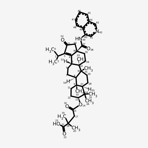 CC(C)C1=C2[C@H]3CC[C@@H]4[C@@]5(C)CC[C@H](OC(=O)CC(C)(C)C(=O)O)C(C)(C)[C@@H]5CC[C@@]4(C)[C@]3(C)CC[C@@]2(C(=O)Nc2cncc3ccccc23)CC1=O